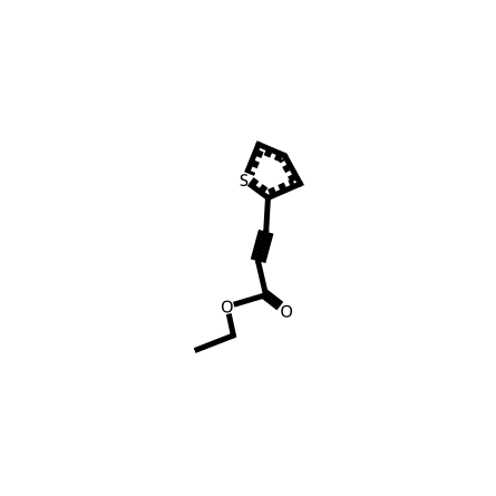 CCOC(=O)C#Cc1cccs1